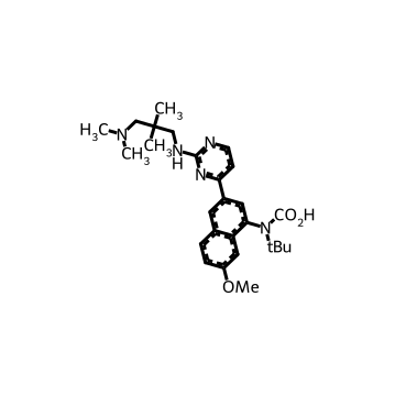 COc1ccc2cc(-c3ccnc(NCC(C)(C)CN(C)C)n3)cc(N(C(=O)O)C(C)(C)C)c2c1